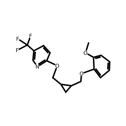 COc1ccccc1OCC1CC1COc1ccc(C(F)(F)F)cn1